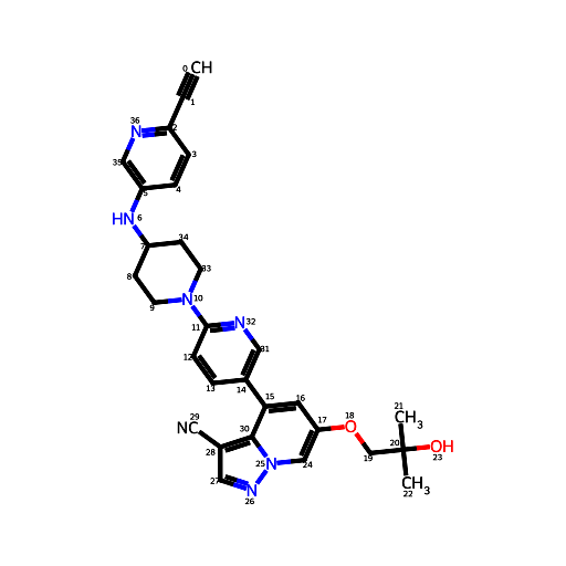 C#Cc1ccc(NC2CCN(c3ccc(-c4cc(OCC(C)(C)O)cn5ncc(C#N)c45)cn3)CC2)cn1